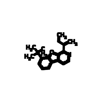 C=CC(=C)c1nccc2c1oc1c([Si](C)(C)C)cccc12